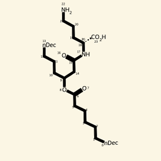 CCCCCCCCCCCCCCCC(=O)OC(CCCCCCCCCCCCC)CC(=O)N[C@H](CCCN)C(=O)O